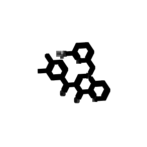 Bc1cccc(Cn2cc(C(=O)c3ccc(C)c(C)c3)c(=O)c3ncccc32)n1